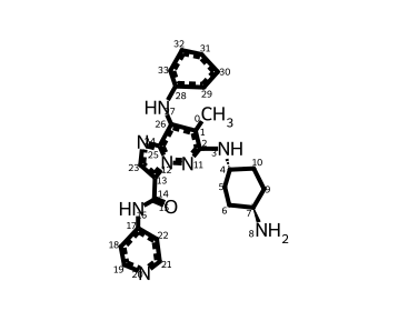 Cc1c(N[C@H]2CC[C@H](N)CC2)nn2c(C(=O)Nc3ccncc3)cnc2c1Nc1ccccc1